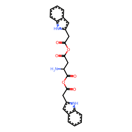 NC(CC(=O)OC(=O)Cc1cc2ccccc2[nH]1)C(=O)OC(=O)Cc1cc2ccccc2[nH]1